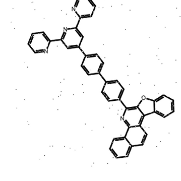 c1ccc(-c2cc(-c3ccc(-c4ccc(-c5nc6c7ccccc7ccc6c6c5oc5ccccc56)cc4)cc3)cc(-c3ccccn3)n2)nc1